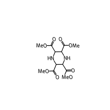 COC(=O)C1NC(C(=O)OC)C(C(=O)OC)NC1C(=O)OC